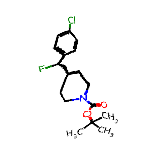 CC(C)(C)OC(=O)N1CCC(C(F)c2ccc(Cl)cc2)CC1